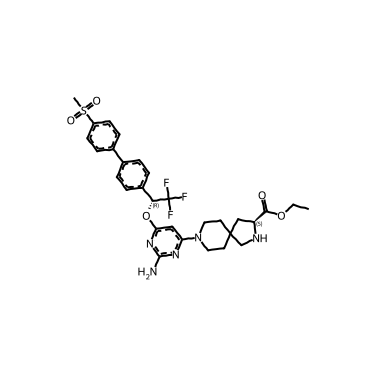 CCOC(=O)[C@@H]1CC2(CCN(c3cc(O[C@H](c4ccc(-c5ccc(S(C)(=O)=O)cc5)cc4)C(F)(F)F)nc(N)n3)CC2)CN1